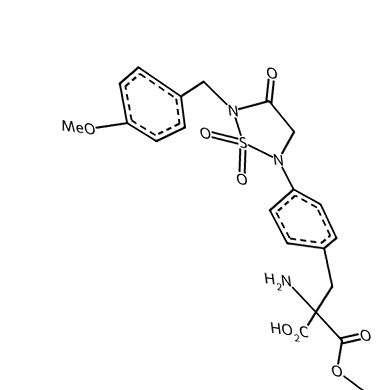 COc1ccc(CN2C(=O)CN(c3ccc(CC(N)(C(=O)O)C(=O)OC(C)(C)C)cc3)S2(=O)=O)cc1